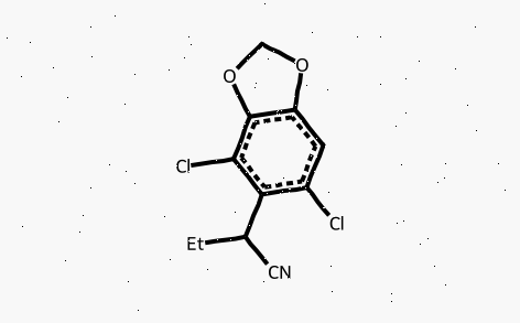 CCC(C#N)c1c(Cl)cc2c(c1Cl)OCO2